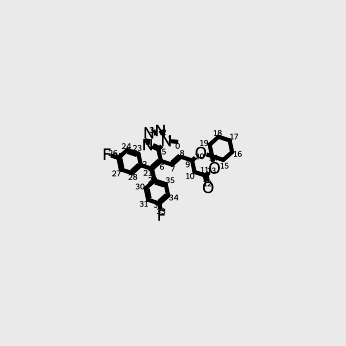 Cn1nnnc1C(/C=C/C1CC(=O)OC2(CCCCC2)O1)=C(c1ccc(F)cc1)c1ccc(F)cc1